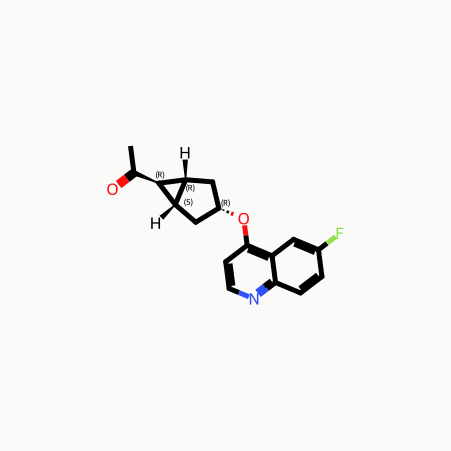 CC(=O)[C@H]1[C@@H]2C[C@H](Oc3ccnc4ccc(F)cc34)C[C@@H]21